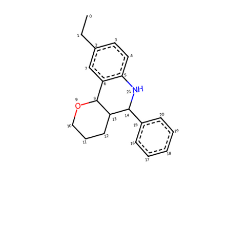 CCc1ccc2c(c1)C1OCCCC1C(c1ccccc1)N2